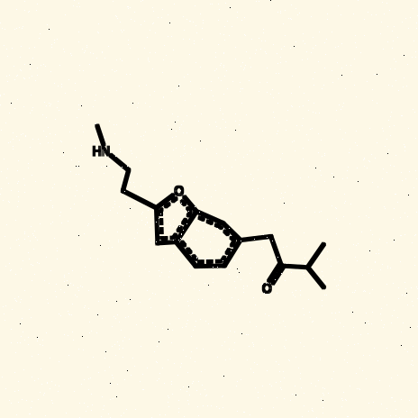 CNCCc1cc2ccc(CC(=O)C(C)C)cc2o1